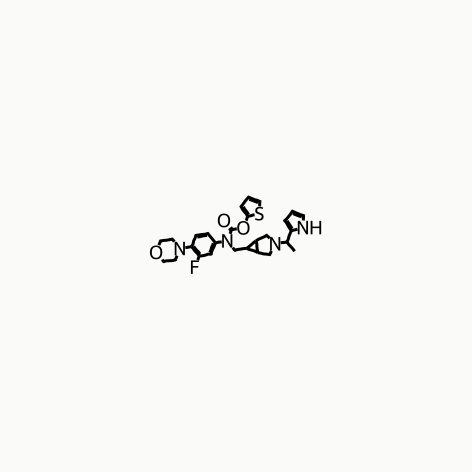 CC(c1ccc[nH]1)N1CC2C(CN(C(=O)Oc3cccs3)c3ccc(N4CCOCC4)c(F)c3)C2C1